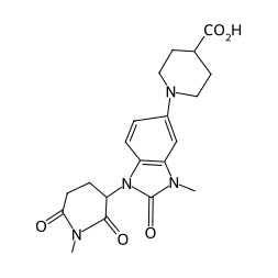 CN1C(=O)CCC(n2c(=O)n(C)c3cc(N4CCC(C(=O)O)CC4)ccc32)C1=O